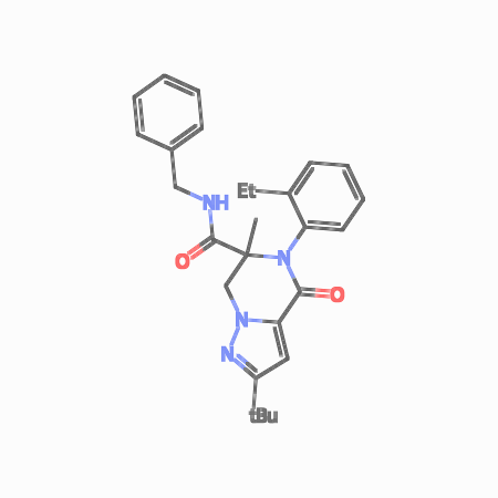 CCc1ccccc1N1C(=O)c2cc(C(C)(C)C)nn2CC1(C)C(=O)NCc1ccccc1